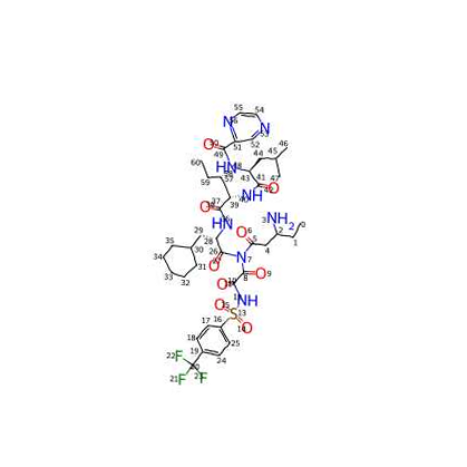 CCC(N)CC(=O)N(C(=O)C(=O)NS(=O)(=O)c1ccc(C(F)(F)F)cc1)C(=O)[C@H](CC1CCCCC1)NC(=O)[C@@H](NC(=O)[C@H](CC(C)C)NC(=O)c1cnccn1)[C@@H](C)CC